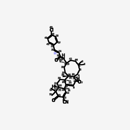 CC1(C)CC[C@H]2C(=O)C=C3[C@@]4(C)C=C(C#N)C(=O)C(C)(C)[C@@H]4CC[C@@]3(C)[C@]2(C)CC[C@@](C)(NC(=O)/C=C/c2ccc(Cl)cc2)CC1